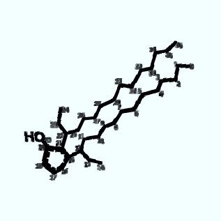 CCCCCCCCCCCCC(CC)c1cccc(O)c1C(CC)CCCCCCCCCCCC